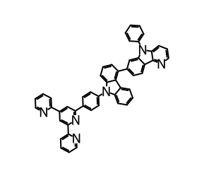 c1ccc(-n2c3cc(-c4cccc5c4c4ccccc4n5-c4ccc(-c5cc(-c6ccccn6)cc(-c6ccccn6)n5)cc4)ccc3c3ncccc32)cc1